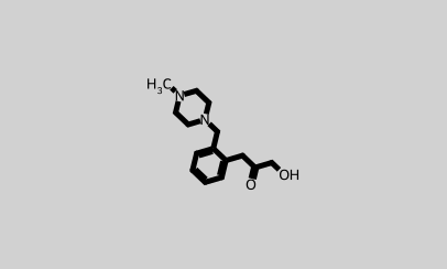 CN1CCN(Cc2ccccc2CC(=O)CO)CC1